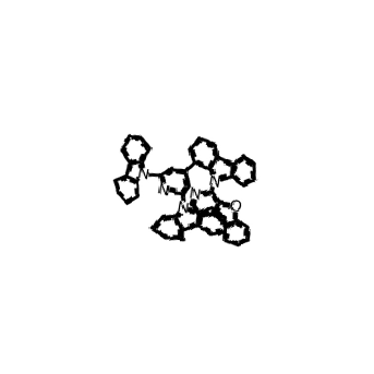 c1ccc2c(c1)oc1c(-n3c4ccccc4c4cccc(-c5cc(-n6c7ccccc7c7ccccc76)nc(-n6c7ccccc7c7ccccc76)c5)c43)nccc12